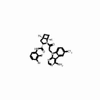 Nc1ncnc2c1c1cc(C(F)(F)F)ccc1n2CC(=O)N1[C@@H]2CC[C@@H]2C[C@H]1C(=O)Nc1cccc(Br)c1F